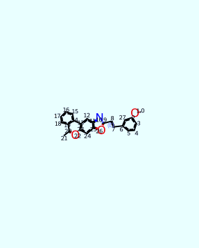 COc1cccc(/C=C/c2nc3cc(-c4ccccc4C(C)=O)ccc3o2)c1